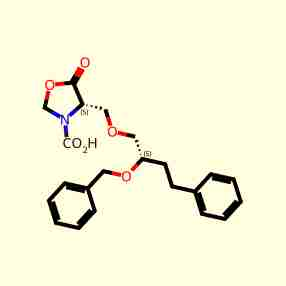 O=C1OCN(C(=O)O)[C@H]1COC[C@H](CCc1ccccc1)OCc1ccccc1